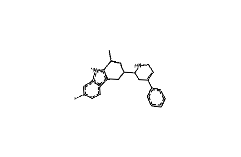 CC1CC(C2CC(c3ccccc3)=CCN2)Cc2c1[nH]c1cc(F)ccc21